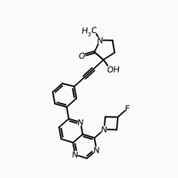 CN1CCC(O)(C#Cc2cccc(-c3ccc4ncnc(N5CC(F)C5)c4n3)c2)C1=O